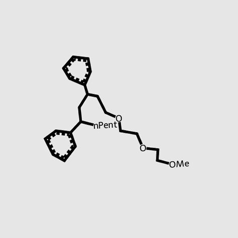 CCCCCC(CC(CCOCCOCCOC)c1ccccc1)c1ccccc1